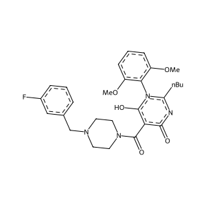 CCCCc1nc(=O)c(C(=O)N2CCN(Cc3cccc(F)c3)CC2)c(O)n1-c1c(OC)cccc1OC